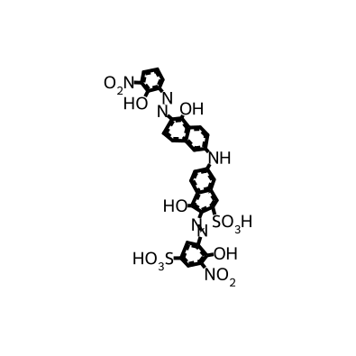 O=[N+]([O-])c1cccc(N=Nc2ccc3cc(Nc4ccc5c(O)c(N=Nc6cc(S(=O)(=O)O)cc([N+](=O)[O-])c6O)c(S(=O)(=O)O)cc5c4)ccc3c2O)c1O